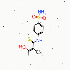 C/C(O)=C(\C#N)C(=S)Nc1ccc(S(N)(=O)=O)cc1